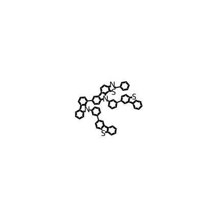 c1ccc(-c2nc3ccc4c5cc(-c6cccc7c8ccccc8n(-c8cccc(-c9ccc%10sc%11ccccc%11c%10c9)c8)c67)ccc5n(-c5cccc(-c6ccc7sc8ccccc8c7c6)c5)c4c3s2)cc1